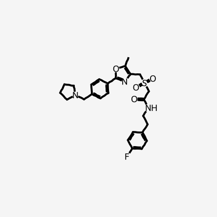 Cc1oc(-c2ccc(CN3CCCC3)cc2)nc1CS(=O)(=O)CC(=O)NCCc1ccc(F)cc1